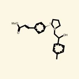 COC(=O)/C=C/c1ccc([C@@H]2CCCN2CC(O)c2ccc(C)cc2)cc1